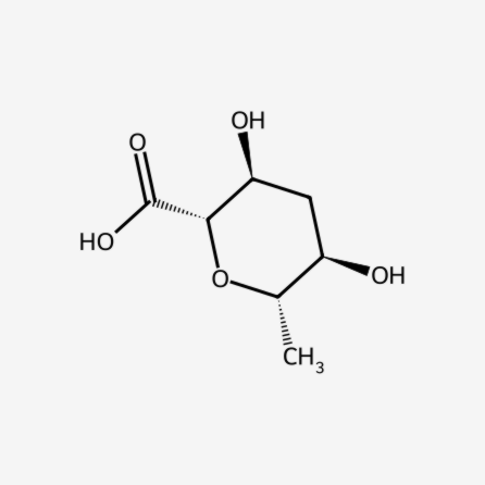 C[C@@H]1O[C@H](C(=O)O)[C@@H](O)C[C@H]1O